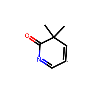 CC1(C)C=[C]C=NC1=O